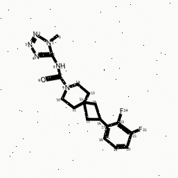 Cn1nnnc1NC(=O)N1CCC2(CC1)CC(c1cccc(F)c1F)C2